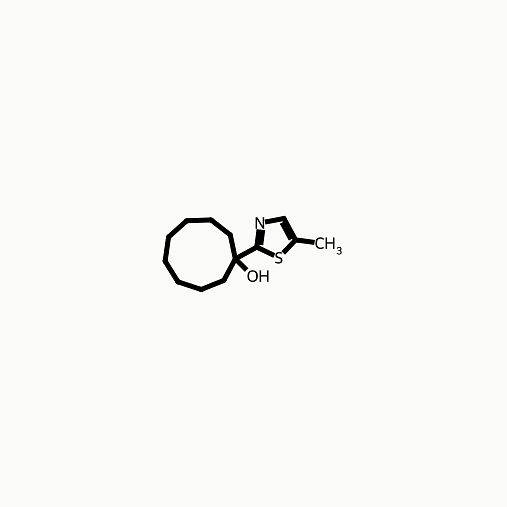 Cc1cnc(C2(O)CCCCCCCC2)s1